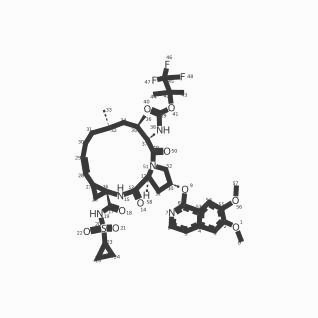 COc1cc2ccnc(O[C@@H]3C[C@H]4C(=O)N[C@]5(C(=O)NS(=O)(=O)C6CC6)CC5/C=C\CC[C@H](C)C[C@@H](C)[C@H](NC(=O)OC(C)(C)C(F)(F)F)C(=O)N4C3)c2cc1OC